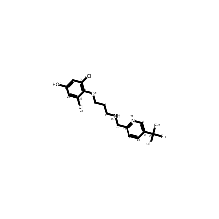 Oc1cc(Cl)c(OCCCNCc2ccc(C(F)(F)F)cn2)c(Cl)c1